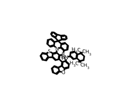 CC1(C)CCC(C)(C)c2cc(Nc3ccc4oc5ccccc5c4c3-c3cc4c(sc5ccccc54)c4c3Bc3cccc5c3N4c3ccccc3C53c4ccccc4-c4ccccc43)ccc21